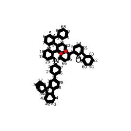 c1ccc(-c2ccccc2-c2ccccc2-c2ccccc2N(c2ccc(-c3ccc4c(c3)C3(CC5CCC3C5)c3ccccc3-4)cc2)c2ccc(-c3cccc4c3oc3ccccc34)cc2)cc1